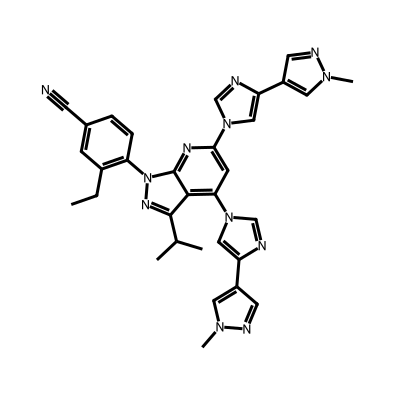 CCc1cc(C#N)ccc1-n1nc(C(C)C)c2c(-n3cnc(-c4cnn(C)c4)c3)cc(-n3cnc(-c4cnn(C)c4)c3)nc21